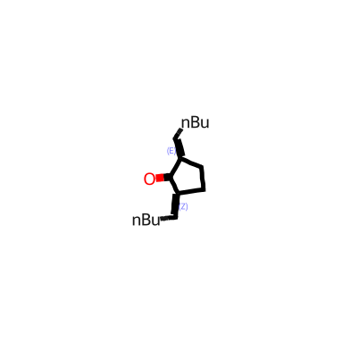 CCCC/C=C1/CC/C(=C\CCCC)C1=O